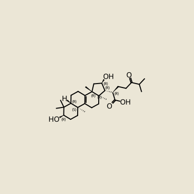 CC(C)C(=O)CC[C@@H](C(=O)O)[C@H]1[C@H](O)C[C@@]2(C)C3=C(CC[C@]12C)[C@@]1(C)CC[C@@H](O)C(C)(C)[C@@H]1CC3